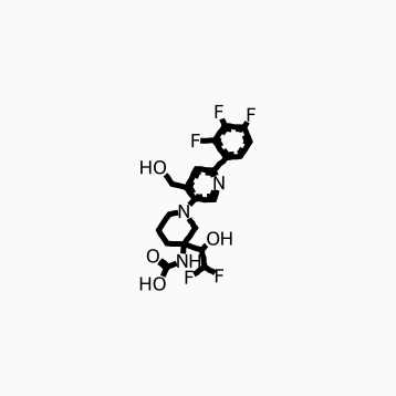 O=C(O)NC1(C(O)C(F)F)CCCN(c2cnc(-c3ccc(F)c(F)c3F)cc2CO)C1